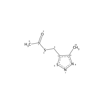 CC(=O)SCc1snnc1C